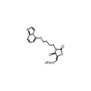 CCCCC/C=C1/SC(=O)N(CCCCSc2cccc3nccn23)C1=O